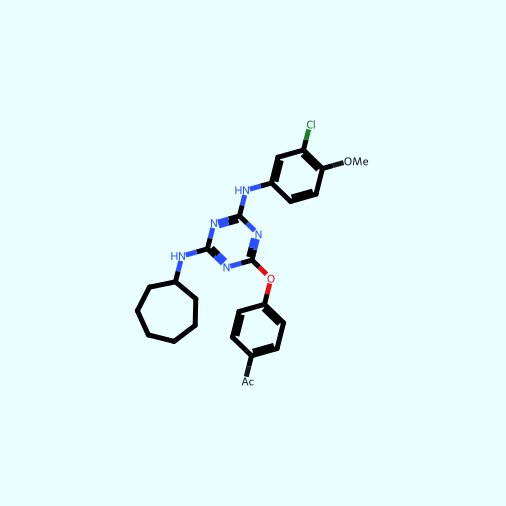 COc1ccc(Nc2nc(NC3CCCCCC3)nc(Oc3ccc(C(C)=O)cc3)n2)cc1Cl